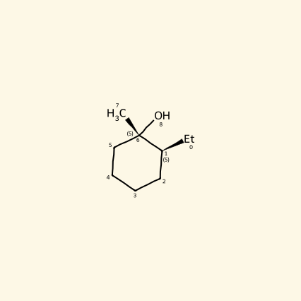 CC[C@H]1CCCC[C@]1(C)O